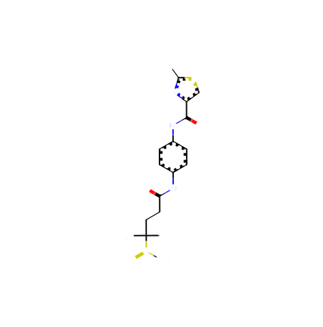 Cc1nc(C(=O)Nc2ccc(NC(=O)CCC(C)(C)S(C)=S)cc2)cs1